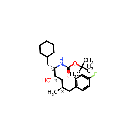 C[C@H](Cc1ccc(F)cc1)C[C@H](O)[C@H](CC1CCCCC1)NC(=O)OC(C)(C)C